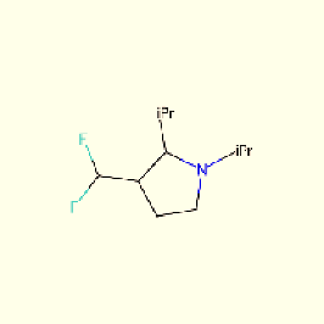 CC(C)C1C(C(F)F)CCN1C(C)C